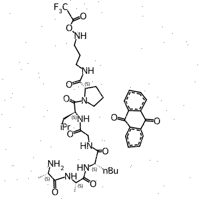 CCCC[C@H](NC(=O)[C@H](C)NC(=O)[C@H](C)N)C(=O)NCC(=O)N[C@@H](CC(C)C)C(=O)N1CCC[C@H]1C(=O)NCCCNOC(=O)C(F)(F)F.O=C1c2ccccc2C(=O)c2ccccc21